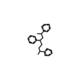 [CH]C(CCC(CC([CH2])c1ccccc1)c1ccccc1)c1ccccc1